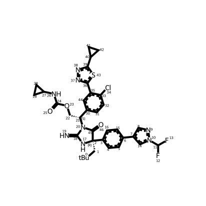 CC(C)(C)C[C@]1(c2ccc(-c3cnn(C(F)F)c3)cc2)NC(=N)N([C@H](COC(=O)NC2CC2)c2ccc(Cl)c(-c3nnc(C4CC4)s3)c2)C1=O